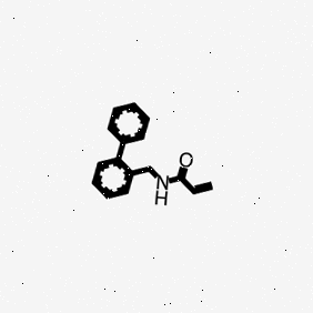 C=CC(=O)NCc1ccccc1-c1ccccc1